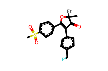 CCC1(C)OC(c2ccc(S(C)(=O)=O)cc2)=C(c2ccc(CF)cc2)C1=O